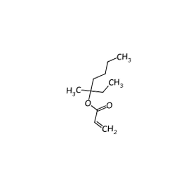 C=CC(=O)OC(C)(CC)CCCC